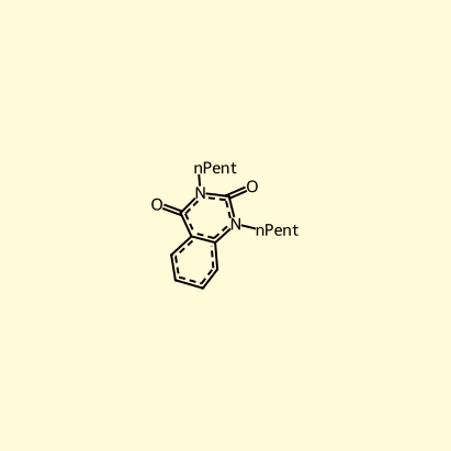 CCCCCn1c(=O)c2ccccc2n(CCCCC)c1=O